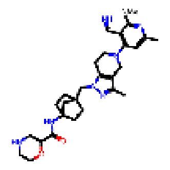 CNc1nc(C)cc(N2CCc3c(c(C)nn3CC34CCC(NC(=O)C5CNCCO5)(CC3)C4)C2)c1C=N